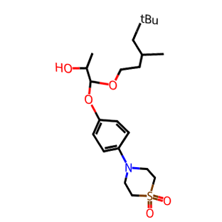 CC(CCOC(Oc1ccc(N2CCS(=O)(=O)CC2)cc1)C(C)O)CC(C)(C)C